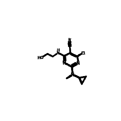 CN(c1nc(Cl)c(C#N)c(NCCO)n1)C1CC1